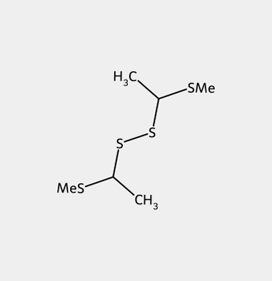 CSC(C)SSC(C)SC